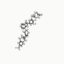 Cc1c(-c2ncnc3[nH]c(-c4cccc(CN5CCNCC5)c4)cc23)cccc1N1CCc2cc(C3CC3)ccc2C1